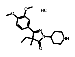 CCC1(C)C(=O)N(C2CCNCC2)N=C1c1ccc(OC)c(OC)c1.Cl